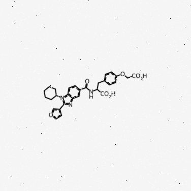 O=C(O)COc1ccc(CC(NC(=O)c2ccc3c(c2)nc(-c2ccoc2)n3C2CCCCC2)C(=O)O)cc1